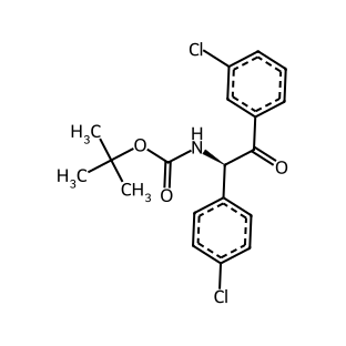 CC(C)(C)OC(=O)N[C@@H](C(=O)c1cccc(Cl)c1)c1ccc(Cl)cc1